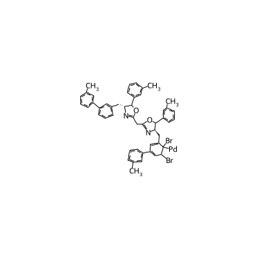 Cc1cccc(C2=CC(Br)[C](Br)([Pd])C(C[C@H]3N=C(CC4=N[C@H](Cc5cccc(-c6cccc(C)c6)c5)C(c5cccc(C)c5)O4)OC3c3cccc(C)c3)=C2)c1